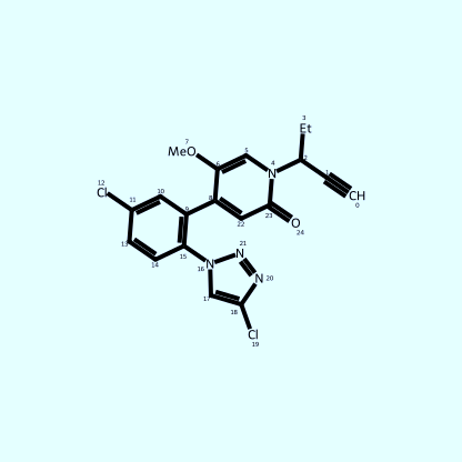 C#CC(CC)n1cc(OC)c(-c2cc(Cl)ccc2-n2cc(Cl)nn2)cc1=O